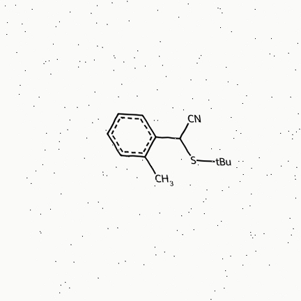 Cc1ccccc1C(C#N)SC(C)(C)C